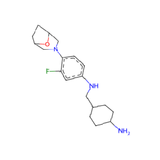 NC1CCC(CNc2ccc(N3CC4CCC(C3)O4)c(F)c2)CC1